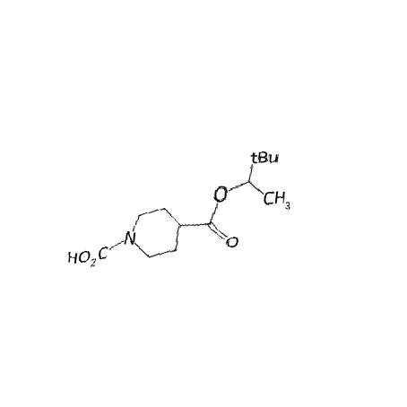 CC(OC(=O)C1CCN(C(=O)O)CC1)C(C)(C)C